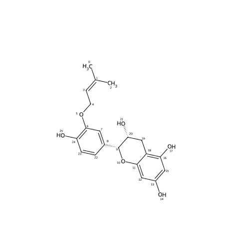 CC(C)=CCOc1cc([C@H]2Oc3cc(O)cc(O)c3C[C@H]2O)ccc1O